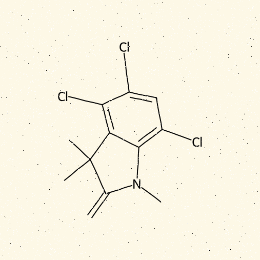 C=C1N(C)c2c(Cl)cc(Cl)c(Cl)c2C1(C)C